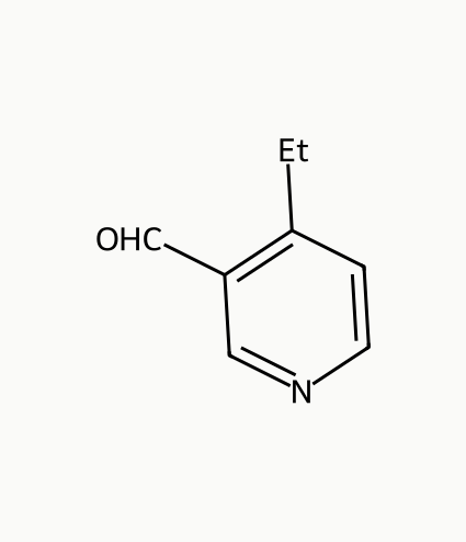 CCc1ccncc1C=O